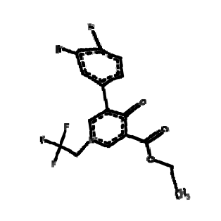 CCOC(=O)c1cn(CC(F)(F)F)cc(-c2ccc(F)c(Br)c2)c1=O